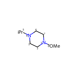 CON1CCN(C(C)C)CC1